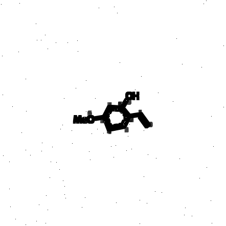 C=Cc1ccc(OC)cc1O